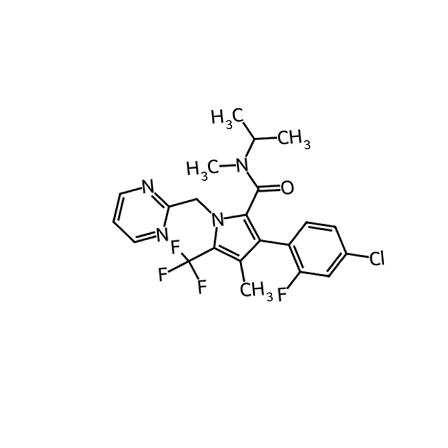 Cc1c(-c2ccc(Cl)cc2F)c(C(=O)N(C)C(C)C)n(Cc2ncccn2)c1C(F)(F)F